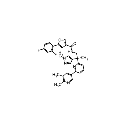 Cc1cc(-c2cccc(C(C)(CNC(=O)c3cc(-c4ccc(F)cc4F)on3)c3cnn(C)c3)n2)cnc1C